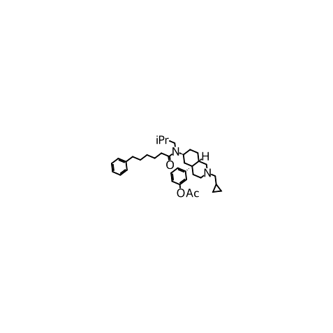 CC(=O)Oc1cccc([C@@]23CCN(CC4CC4)C[C@H]2CC[C@H](N(CC(C)C)C(=O)CCCCCc2ccccc2)C3)c1